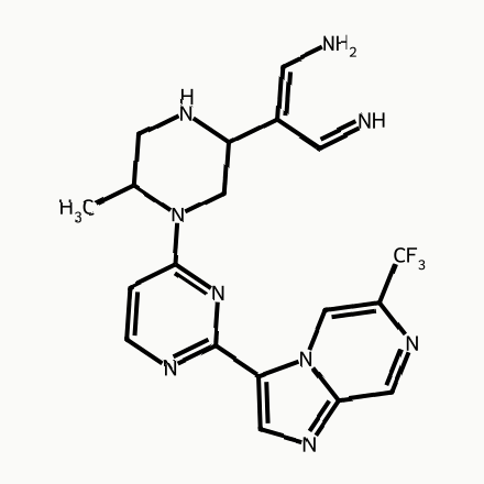 CC1CNC(/C(C=N)=C/N)CN1c1ccnc(-c2cnc3cnc(C(F)(F)F)cn23)n1